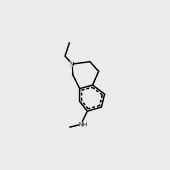 CCN1CCc2ccc(NC)cc2C1